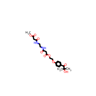 COC(=O)CC(=O)NCCNC(=O)CC(=O)OCCOc1ccc(C(=O)C(C)(C)O)cc1